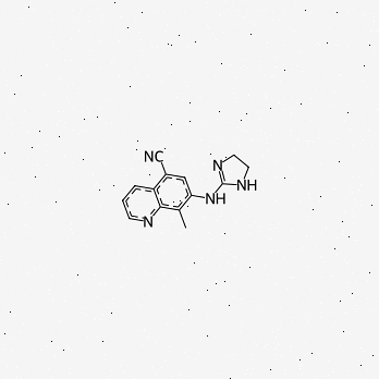 Cc1c(NC2=NCCN2)cc(C#N)c2cccnc12